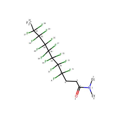 CCN(CC)C(=O)CCC(F)(F)C(F)(F)C(F)(F)C(F)(F)C(F)(F)C(F)(F)C(F)(F)C(F)(F)F